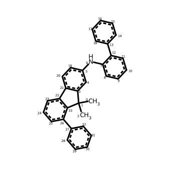 CC1(C)c2cc(Nc3ccccc3-c3ccccc3)ccc2-c2cccc(-c3ccccc3)c21